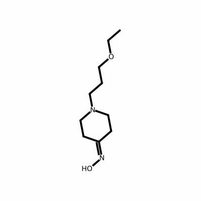 CCOCCCN1CCC(=NO)CC1